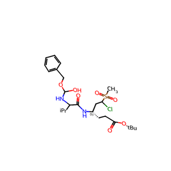 CC(C)C(NC(O)OCc1ccccc1)C(=O)N[C@@H](CCC(=O)OC(C)(C)C)CC(Cl)S(C)(=O)=O